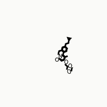 Cc1c(OCC2COCCO2)cc(=O)n2c1-c1ccc(CCC3CC3)cc1CC2